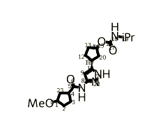 COC1CCC(C(=O)Nc2cc([C@H]3CC[C@@H](OC(=O)NC(C)C)C3)[nH]n2)C1